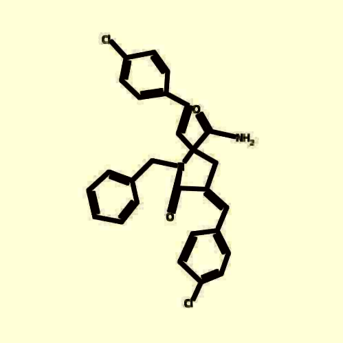 NC(=O)C1(C=Cc2ccc(Cl)cc2)CC(=Cc2ccc(Cl)cc2)C(=O)N1Cc1ccccc1